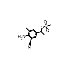 Cc1cc(C(C)OS(C)(=O)=O)cc(C#N)c1N